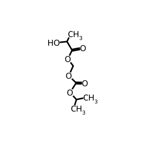 CC(C)OC(=O)OCOC(=O)C(C)O